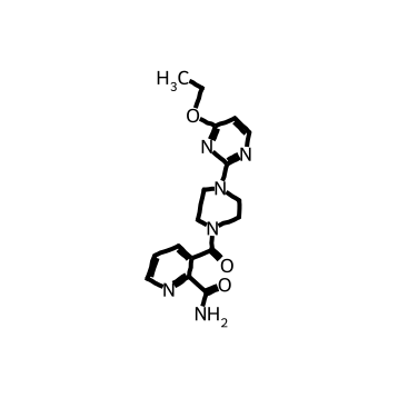 CCOc1ccnc(N2CCN(C(=O)c3cccnc3C(N)=O)CC2)n1